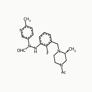 CC(=O)N1CCN(Cc2cccc(NN(C=O)c3ccc(C)nc3)c2F)[C@@H](C)C1